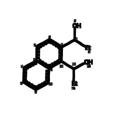 CCC(O)c1ccc2ccccc2c1C(O)CC